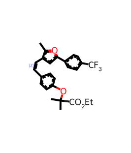 CCOC(=O)C(C)(C)Oc1ccc(/C=C\c2cc(-c3ccc(C(F)(F)F)cc3)oc2C)cc1